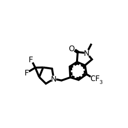 CN1Cc2c(cc(CN3CC4C(C3)C4(F)F)cc2C(F)(F)F)C1=O